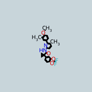 CCOc1ccc(-c2nc(NC(=O)C3(c4ccc5c(c4)OC(F)(F)O5)CC3)ccc2C)cc1C